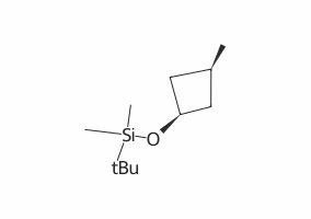 CC(C)(C)[Si](C)(C)O[C@H]1C[C@@H](C)C1